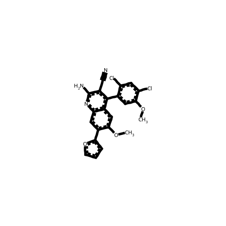 COc1cc(-c2c(C#N)c(N)nc3cc(-c4ccco4)c(OC)cc23)c(Cl)cc1Cl